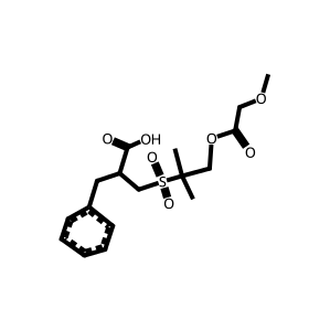 COCC(=O)OCC(C)(C)S(=O)(=O)CC(Cc1ccccc1)C(=O)O